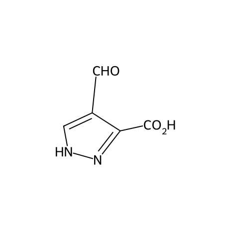 O=Cc1c[nH]nc1C(=O)O